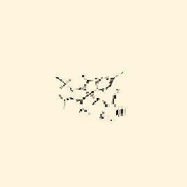 Cc1ccc(C2(SCC(N)C(=O)O)C(C(C)C)C(C(C)C)C(C(C)(C)C)C2C(C)C)cc1